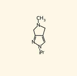 CC(C)n1cc2c(n1)CN(C)C2